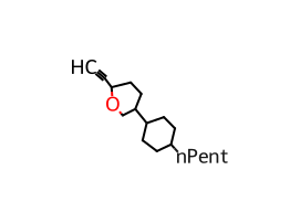 C#CC1CCC(C2CCC(CCCCC)CC2)CO1